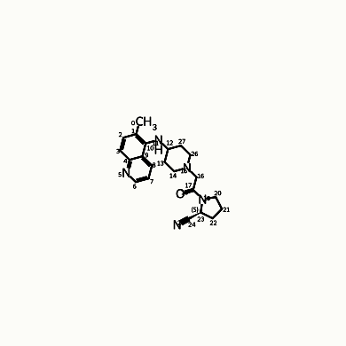 Cc1ccc2ncccc2c1NC1CCN(CC(=O)N2CCC[C@H]2C#N)CC1